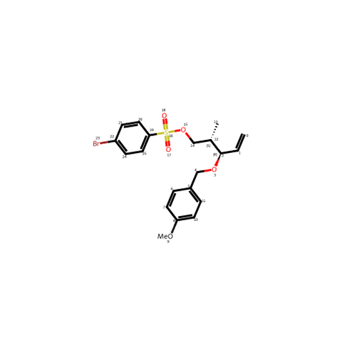 C=C[C@@H](OCc1ccc(OC)cc1)[C@@H](C)COS(=O)(=O)c1ccc(Br)cc1